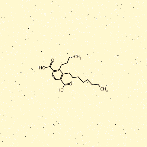 CCCCCCCCc1c(C(=O)O)ccc(C(=O)O)c1CCCC